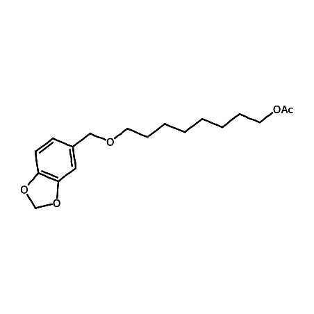 CC(=O)OCCCCCCCCOCc1ccc2c(c1)OCO2